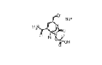 NC(=O)C1=C[C@@H](C[O-])N2C[C@@H]1N(OS(=O)(=O)O)C2=O.[Na+]